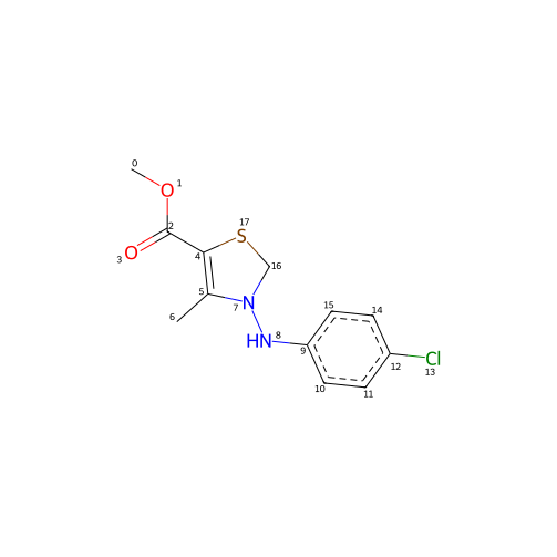 COC(=O)C1=C(C)N(Nc2ccc(Cl)cc2)CS1